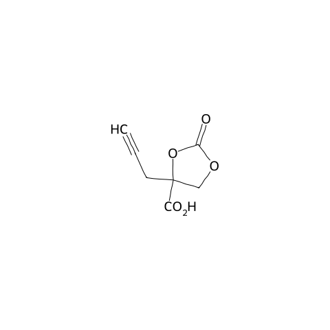 C#CCC1(C(=O)O)COC(=O)O1